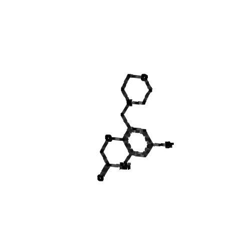 O=C1COc2c(CN3CCOCC3)cc(Br)cc2N1